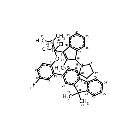 CC1=[C]([Ti]([Cl])([Cl])([O]c2ccc(F)cc2-c2ccc3c(c2)C(C)(C)c2ccccc2-3)=[Si](C)C)c2ccccc2C1N1CCCC1